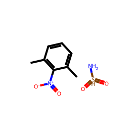 Cc1cccc(C)c1[N+](=O)[O-].N[SH](=O)=O